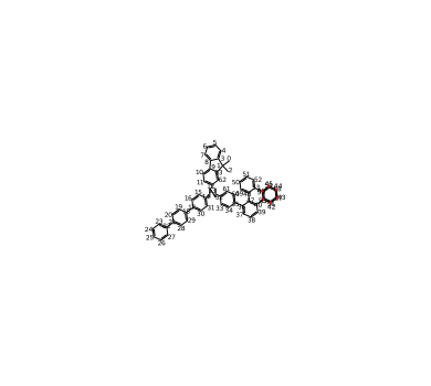 CC1(C)c2ccccc2-c2ccc(N(c3ccc(-c4ccc(-c5ccccc5)cc4)cc3)c3ccc(-c4cccc(-c5ccccc5)c4-c4ccccc4-c4ccccc4)cc3)cc21